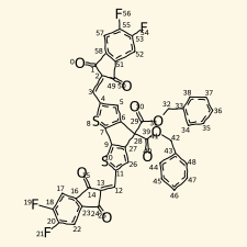 O=C1C(=Cc2cc3c(s2)-c2sc(C=C4C(=O)c5cc(F)c(F)cc5C4=O)cc2C3(C(=O)OCc2ccccc2)C(=O)OCc2ccccc2)C(=O)c2cc(F)c(F)cc21